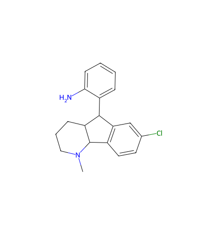 CN1CCCC2C(c3ccccc3N)c3cc(Cl)ccc3C21